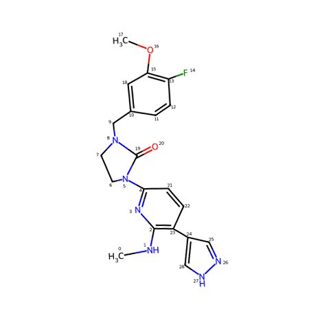 CNc1nc(N2CCN(Cc3ccc(F)c(OC)c3)C2=O)ccc1-c1cn[nH]c1